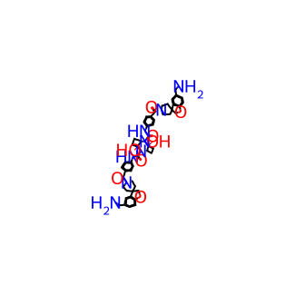 NCc1ccc2c(c1)C1(CCN(C(=O)c3ccc(NC(=O)N4C5CC[C@@]5(O)N(C(=O)Nc5ccc(C(=O)N6CCC7(CC6)COc6ccc(CN)cc67)cc5)C5CC[C@]54O)cc3)CC1)CO2